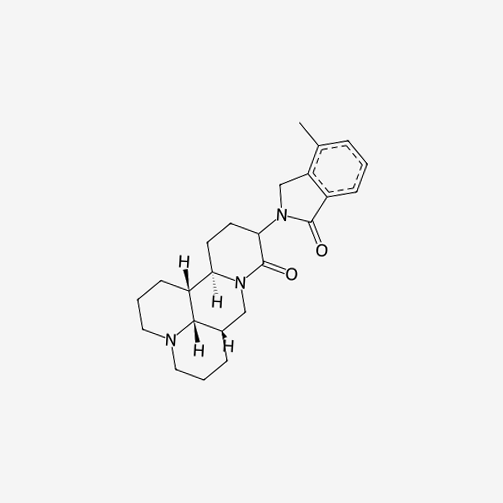 Cc1cccc2c1CN(C1CC[C@@H]3[C@H]4CCCN5CCC[C@@H](CN3C1=O)[C@@H]45)C2=O